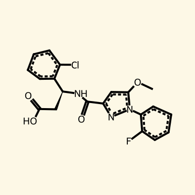 COc1cc(C(=O)N[C@@H](CC(=O)O)c2ccccc2Cl)nn1-c1ccccc1F